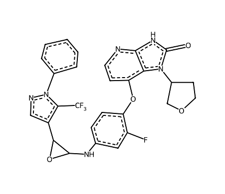 O=c1[nH]c2nccc(Oc3ccc(NC4OC4c4cnn(-c5ccccc5)c4C(F)(F)F)cc3F)c2n1C1CCOC1